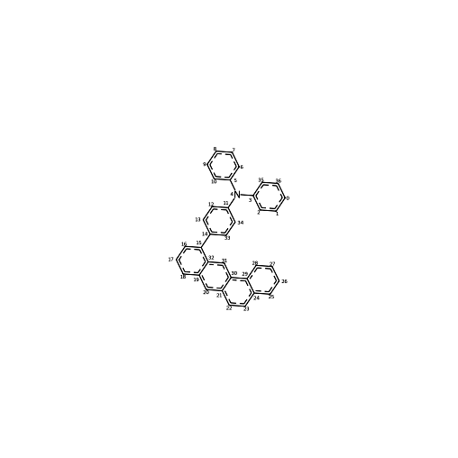 c1ccc(N(c2ccccc2)c2ccc(-c3cccc4cc5ccc6ccccc6c5cc34)cc2)cc1